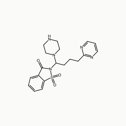 O=C1c2ccccc2S(=O)(=O)N1C(CCCc1ncccn1)N1CCNCC1